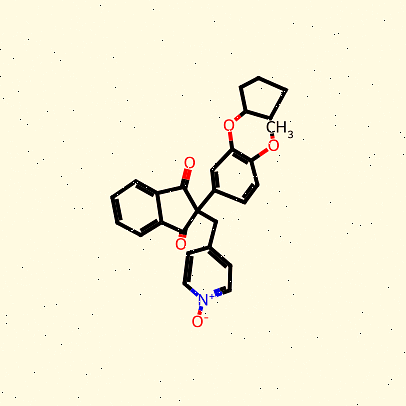 COc1ccc(C2(Cc3cc[n+]([O-])cc3)C(=O)c3ccccc3C2=O)cc1OC1CCCC1